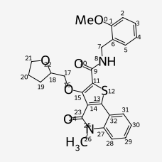 COc1ccccc1CNC(=O)c1sc2c(c1OCC1CCCO1)c(=O)n(C)c1ccccc21